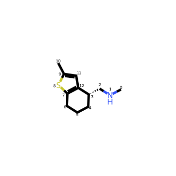 CNC[C@@H]1CCCc2sc(C)cc21